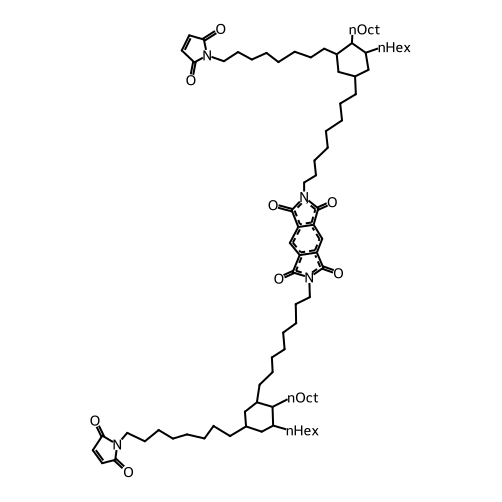 CCCCCCCCC1C(CCCCCC)CC(CCCCCCCCn2c(=O)c3cc4c(=O)n(CCCCCCCCC5CC(CCCCCCCCN6C(=O)C=CC6=O)CC(CCCCCC)C5CCCCCCCC)c(=O)c4cc3c2=O)CC1CCCCCCCCN1C(=O)C=CC1=O